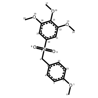 COc1ccc(CS(=O)(=O)c2cc(OC)c(OC)c(OC)c2)cc1